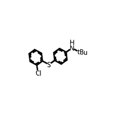 CC(C)(C)Nc1ccc(Sc2ccccc2Cl)cc1